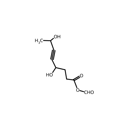 CC(O)C#CC(O)CCC(=O)OC=O